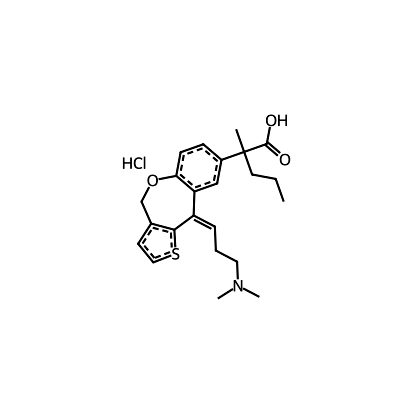 CCCC(C)(C(=O)O)c1ccc2c(c1)/C(=C/CCN(C)C)c1sccc1CO2.Cl